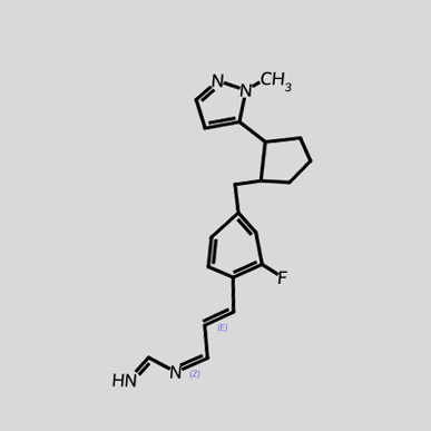 Cn1nccc1C1CCCC1Cc1ccc(/C=C/C=N\C=N)c(F)c1